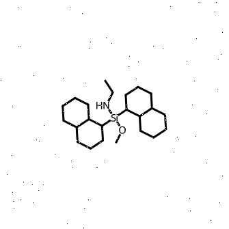 CCN[Si](OC)(C1CCCC2CCCCC21)C1CCCC2CCCCC21